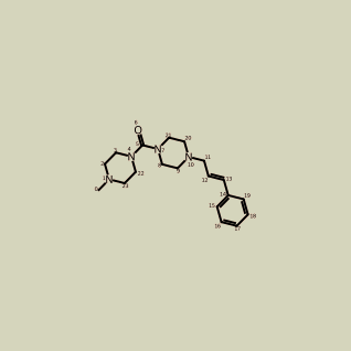 CN1CCN(C(=O)N2CCN(CC=Cc3ccccc3)CC2)CC1